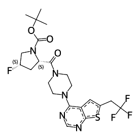 CC(C)(C)OC(=O)N1C[C@@H](F)C[C@H]1C(=O)N1CCN(c2ncnc3sc(CC(F)(F)F)cc23)CC1